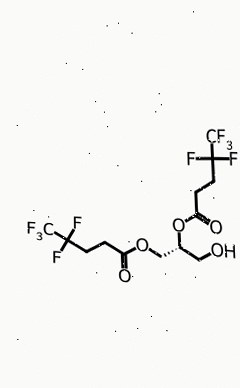 O=C(CCC(F)(F)C(F)(F)F)OC[C@@H](CO)OC(=O)CCC(F)(F)C(F)(F)F